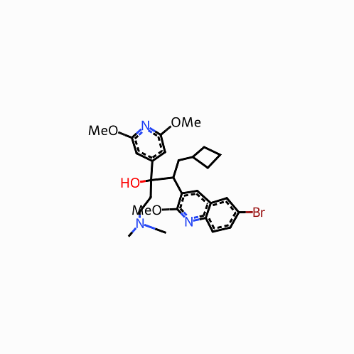 COc1cc(C(O)(CCN(C)C)C(CC2CCC2)c2cc3cc(Br)ccc3nc2OC)cc(OC)n1